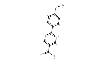 CCCCOc1ccc(-c2ncc(C(=O)Cl)cn2)cc1